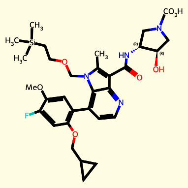 COc1cc(-c2ccnc3c(C(=O)N[C@@H]4CN(C(=O)O)C[C@H]4O)c(C)n(COCC[Si](C)(C)C)c23)c(OCC2CC2)cc1F